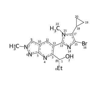 CC[C@@H](O)c1nc2nn(C)cc2cc1-c1nc(Br)c(C2CC2)n1C